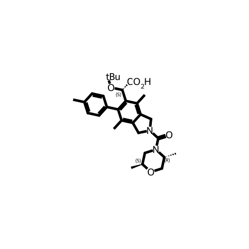 Cc1ccc(-c2c(C)c3c(c(C)c2[C@H](OC(C)(C)C)C(=O)O)CN(C(=O)N2C[C@H](C)OC[C@H]2C)C3)cc1